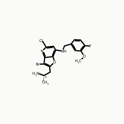 COc1cc(CNc2cc(Cl)nc3c(Br)c(C[C@H](C)N)oc23)ccc1F